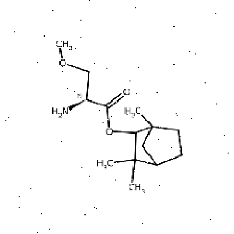 COC[C@H](N)C(=O)OC1C2(C)CCC(C2)C1(C)C